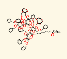 COC(=O)CCCCCCCCO[C@@H]1O[C@H](COCc2ccccc2)[C@@H](OCc2ccccc2)[C@H](OCc2ccccc2)[C@@H]1O[C@H]1O[C@H](COCc2ccccc2)[C@@H](OCc2ccccc2)[C@H](OCc2ccccc2)[C@@H]1O[C@H]1O[C@H](COCc2ccccc2)[C@@H](OCc2ccccc2)[C@H](OCc2ccccc2)[C@@H]1O[C@H]1O[C@H](COCc2ccccc2)[C@@H](OCc2ccccc2)[C@H](OCc2ccccc2)[C@@H]1O